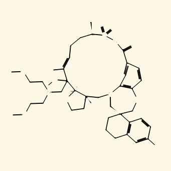 COCCN(CCOC)CC1(OC)/C(F)=C/C[C@H](C)[C@@H](C)S(=O)(=O)NC(=O)c2ccc3c(c2)N(C[C@@H]2CCO[C@H]21)C[C@@]1(CCCc2cc(Cl)ccc21)CO3